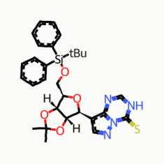 CC1(C)O[C@@H]2[C@H](O1)[C@@H](CO[Si](c1ccccc1)(c1ccccc1)C(C)(C)C)O[C@H]2c1cnn2c(=S)[nH]cnc12